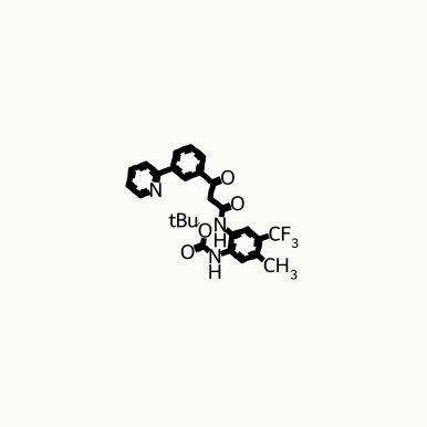 Cc1cc(NC(=O)OC(C)(C)C)c(NC(=O)CC(=O)c2cccc(-c3ccccn3)c2)cc1C(F)(F)F